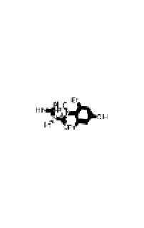 CCc1cc(O)cc(CC)c1N(C)C(=O)N(CC)C(=N)N